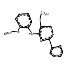 CC(C)(C)Nc1ccccc1Nc1nc(-c2ccccc2)ncc1OC(=O)O